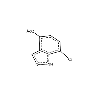 CC(=O)Oc1ccc(Cl)c2[nH]ncc12